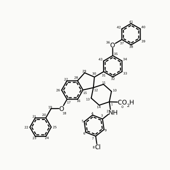 O=C(O)C1(Nc2cccc(Cl)c2)CCC2(CC1)c1cc(OCc3ccccc3)ccc1CC2c1cccc(Oc2ccccc2)c1